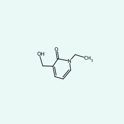 CCn1cccc(CO)c1=O